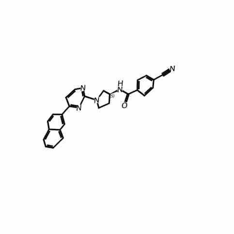 N#Cc1ccc(C(=O)N[C@H]2CCN(c3nccc(-c4ccc5ccccc5c4)n3)C2)cc1